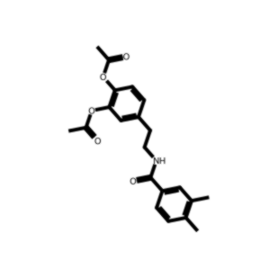 CC(=O)Oc1ccc(CCNC(=O)c2ccc(C)c(C)c2)cc1OC(C)=O